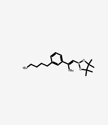 CCCC/C(=C\B1OC(C)(C)C(C)(C)O1)c1cccc(CCCCC(C)(C)C)c1